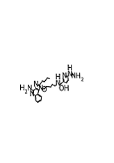 CCCCc1nc2c(N)nc3ccccc3c2n1OCCCCNC(O)c1ccc(NN)nc1